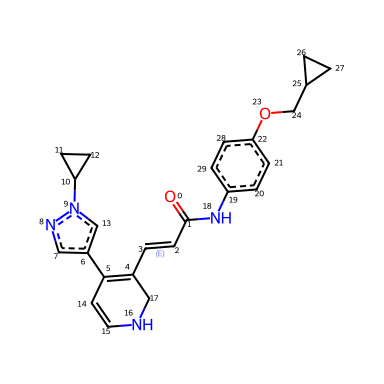 O=C(/C=C/C1=C(c2cnn(C3CC3)c2)C=CNC1)Nc1ccc(OCC2CC2)cc1